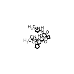 Cn1ccc(NC(=O)C(=O)C2(NC(=O)[C@@H](CC3(F)CCCC3)NC(=O)OC(C)(C)C)CCC2)n1